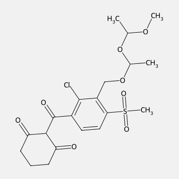 COC(C)OC(C)OCc1c(S(C)(=O)=O)ccc(C(=O)C2C(=O)CCCC2=O)c1Cl